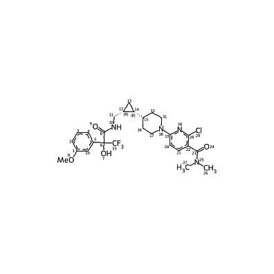 COc1cccc(C(O)(C(=O)NC[C@@H]2C[C@@H]2C2CCN(c3ccc(C(=O)N(C)C)c(Cl)n3)CC2)C(F)(F)F)c1